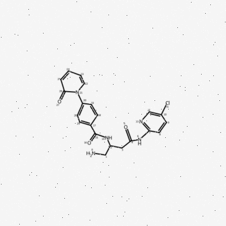 NCC(CC(=O)Nc1ccc(Cl)cn1)NC(=O)c1ccc(-n2ccccc2=O)cc1